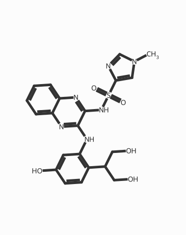 Cn1cnc(S(=O)(=O)Nc2nc3ccccc3nc2Nc2cc(O)ccc2C(CO)CO)c1